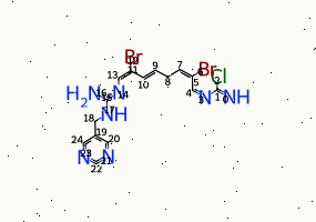 N=C(Cl)/N=C\C(Br)=C/C/C=C/C(Br)=C\N=C(/N)NCc1cncnc1